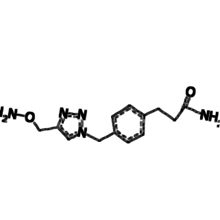 NOCc1cn(Cc2ccc(CCC(N)=O)cc2)nn1